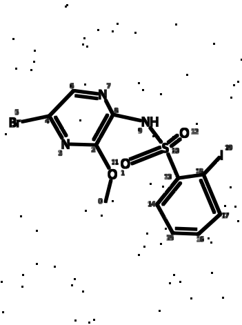 COc1nc(Br)cnc1NS(=O)(=O)c1ccccc1I